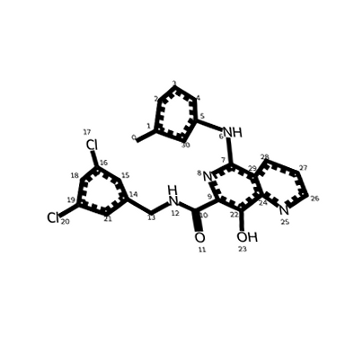 Cc1cccc(Nc2nc(C(=O)NCc3cc(Cl)cc(Cl)c3)c(O)c3ncccc23)c1